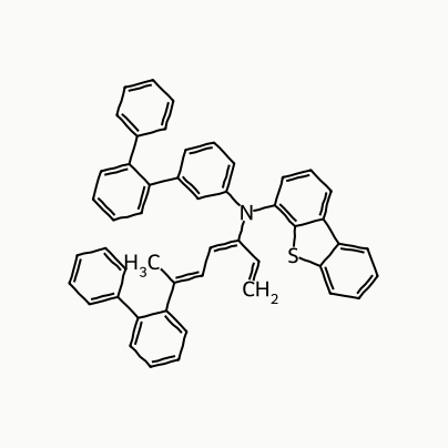 C=C/C(=C\C=C(/C)c1ccccc1-c1ccccc1)N(c1cccc(-c2ccccc2-c2ccccc2)c1)c1cccc2c1sc1ccccc12